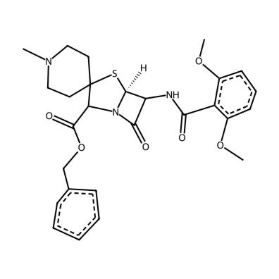 COc1cccc(OC)c1C(=O)NC1C(=O)N2C(C(=O)OCc3ccccc3)C3(CCN(C)CC3)S[C@@H]12